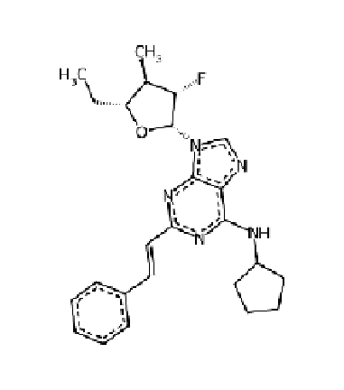 CC[C@H]1O[C@@H](n2cnc3c(NC4CCCC4)nc(/C=C/c4ccccc4)nc32)[C@@H](F)[C@@H]1C